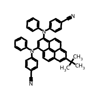 CC(C)(C)c1cc2ccc3c(N(c4ccccc4)c4ccc(C#N)cc4)cc(N(c4ccccc4)c4ccc(C#N)cc4)c4ccc(c1)c2c34